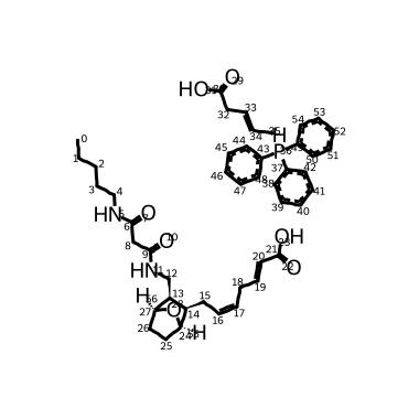 CCCCCNC(=O)CC(=O)NC[C@H]1[C@@H](C/C=C\C/C=C/C(=O)O)[C@H]2CC[C@@H]1O2.O=C(O)CC=CC[PH](c1ccccc1)(c1ccccc1)c1ccccc1